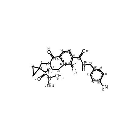 CN(C(C)(C)C)S(=O)(=O)C1(CN2CCn3c(ccc(C(=O)NCc4ccc(C#N)cc4)c3=O)C2=O)CC1